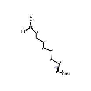 CCCC/C=C/CCCCCCN(CC)CC